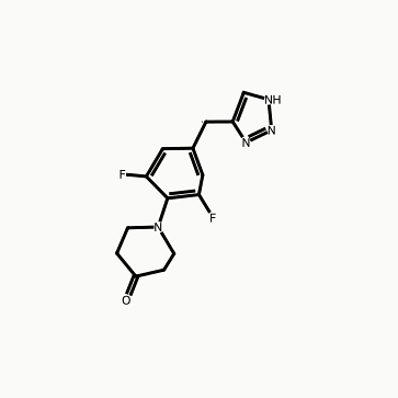 O=C1CCN(c2c(F)cc([CH]c3c[nH]nn3)cc2F)CC1